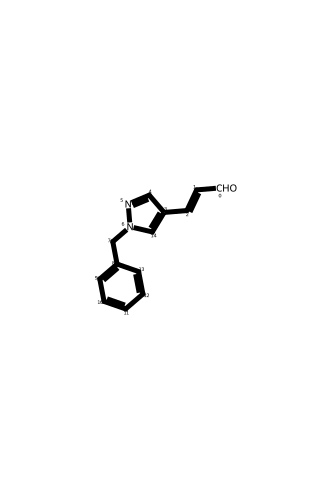 O=C/C=C/c1cnn(Cc2ccccc2)c1